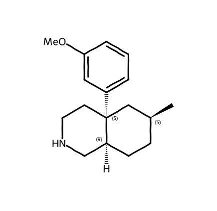 COc1cccc([C@@]23CCNC[C@@H]2CC[C@H](C)C3)c1